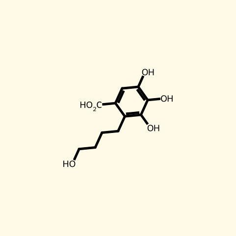 O=C(O)c1cc(O)c(O)c(O)c1CCCCO